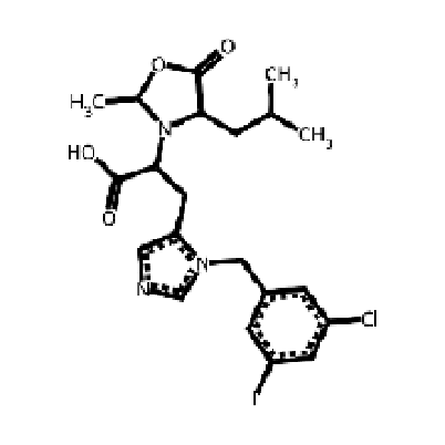 CC(C)CC1C(=O)OC(C)N1C(Cc1cncn1Cc1cc(Cl)cc(I)c1)C(=O)O